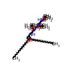 CCCCCCCCC=CCCCCCCCCOc1ccc(CNCCCCN(CCCCN(CCCCNC(=O)OC(C)(C)C)C(=O)OC(C)(C)C)C(=O)OC(C)(C)C)cc1OCCCCCCCCC=CCCCCCCCC